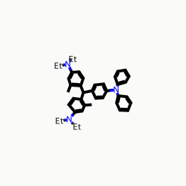 CCN(CC)c1ccc(C(c2ccc(N(c3ccccc3)c3ccccc3)cc2)c2ccc(N(CC)CC)cc2C)c(C)c1